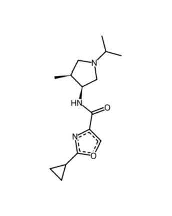 CC(C)N1C[C@H](C)[C@H](NC(=O)c2coc(C3CC3)n2)C1